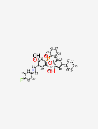 COc1cc(P2(=O)Oc3ccc(-c4ccccc4)cc3-c3ccccc32)c(CO)cc1/C=C/c1ccc(F)cc1